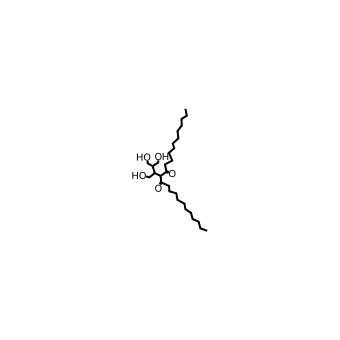 CCCCCCCCCCCC(=O)C(C(=O)CCCCCCCCCCC)C(CO)C(CO)CO